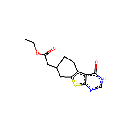 CCOC(=O)CC1CCc2c(sc3nc[nH]c(=O)c23)C1